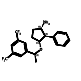 C[C@H](O[C@@H]1CC[C@H](N)[C@H]1c1ccccc1)c1cc(C(F)(F)F)cc(C(F)(F)F)c1